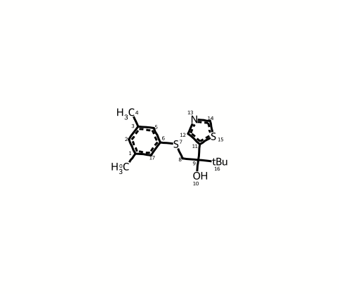 Cc1cc(C)cc(SCC(O)(c2cncs2)C(C)(C)C)c1